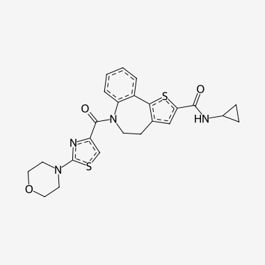 O=C(NC1CC1)c1cc2c(s1)-c1ccccc1N(C(=O)c1csc(N3CCOCC3)n1)CC2